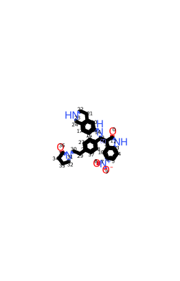 O=C1Nc2ccc([N+](=O)[O-])cc2/C1=C(/Nc1ccc2c(c1)CCNC2)c1ccc(CCN2CCCC2=O)cc1